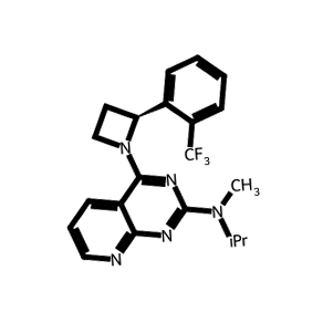 CC(C)N(C)c1nc(N2CC[C@H]2c2ccccc2C(F)(F)F)c2cccnc2n1